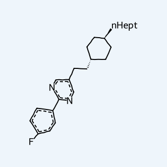 CCCCCCC[C@H]1CC[C@H](CCc2cnc(-c3ccc(F)cc3)nc2)CC1